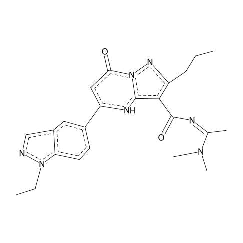 CCCc1nn2c(=O)cc(-c3ccc4c(cnn4CC)c3)[nH]c2c1C(=O)/N=C(/C)N(C)C